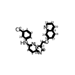 Clc1cccc(Nc2ccc3nnc(COc4ccc5cccnc5c4)n3n2)c1